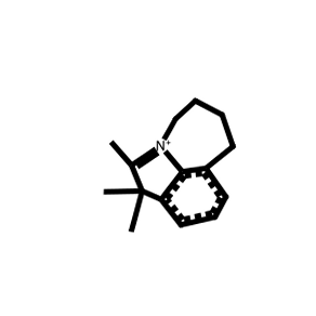 CC1=[N+]2CCCCc3cccc(c32)C1(C)C